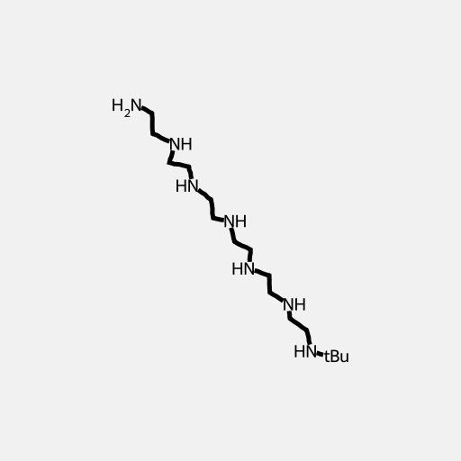 CC(C)(C)NCCNCCNCCNCCNCCNCCN